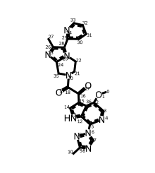 COc1cnc(-n2cnc(C)n2)c2[nH]cc(C(=O)C(=O)N3CCn4c(nc(C)c4-c4ccccn4)C3)c12